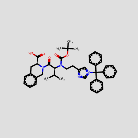 CC(C)[C@@H](C(=O)N1Cc2ccccc2C[C@H]1C(=O)O)N(CCc1cn(C(c2ccccc2)(c2ccccc2)c2ccccc2)cn1)C(=O)OC(C)(C)C